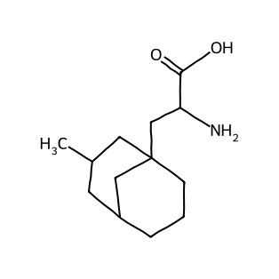 CC1CC2CCCC(CC(N)C(=O)O)(C1)C2